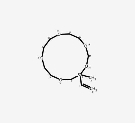 C=C[Si]1(C)COCCOCCOCCOCO1